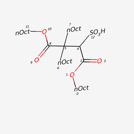 CCCCCCCCOC(=O)C(C(CCCCCCCC)(CCCCCCCC)C(=O)OCCCCCCCC)S(=O)(=O)O